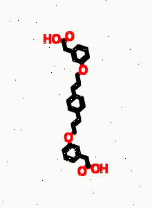 O=C(O)Cc1cccc(OC/C=C/c2ccc(/C=C/COc3cccc(CC(=O)O)c3)cc2)c1